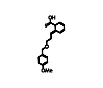 COc1ccc(COCCC=C2C=CC=CC2C(O)=S)cc1